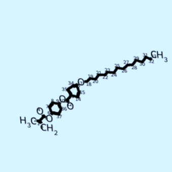 C=C(C)C(=O)Oc1ccc(OC(=O)c2ccc(OCCCCCCCCCCCCCCCC)cc2)cc1